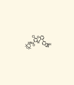 CC1(C)CC(NC(=O)c2ccc(Oc3cccc(-c4ccc5cn[nH]c5c4)c3C#N)c(Cl)c2)CC(C)(C)O1